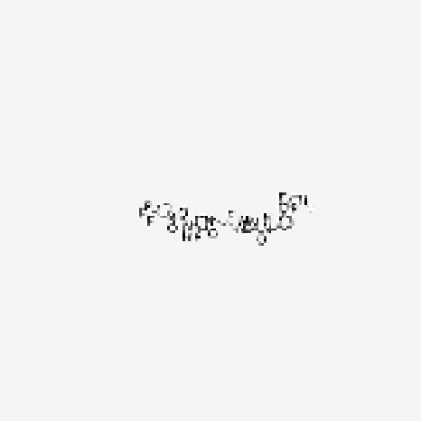 CC(F)(F)Oc1cccc(CNC(=O)c2cn(CC(F)CCn3ccc(NC(=O)C(=O)N4CCCC(C(F)(F)F)C4)c(F)c3=O)nn2)c1